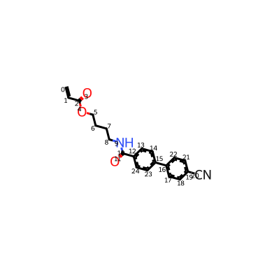 C=CC(=O)OCCCCNC(=O)c1ccc(-c2ccc(C#N)cc2)cc1